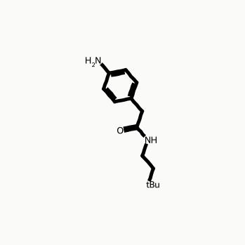 CC(C)(C)CCNC(=O)Cc1ccc(N)cc1